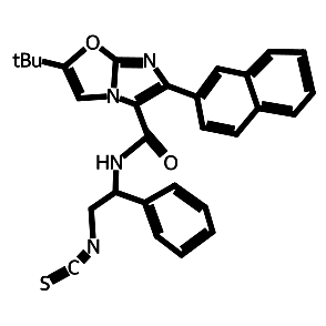 CC(C)(C)c1cn2c(C(=O)NC(CN=C=S)c3ccccc3)c(-c3ccc4ccccc4c3)nc2o1